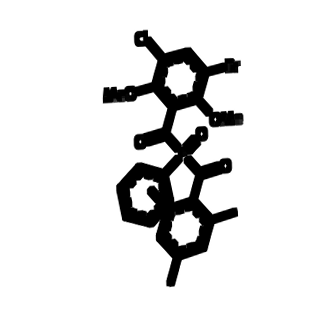 COc1c(Cl)cc(Br)c(OC)c1C(=O)P(=O)(C(=O)c1c(C)cc(C)cc1C)c1ccccc1